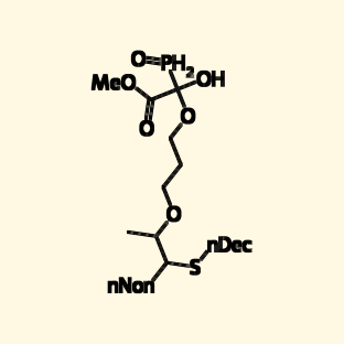 CCCCCCCCCCSC(CCCCCCCCC)C(C)OCCCOC(O)([PH2]=O)C(=O)OC